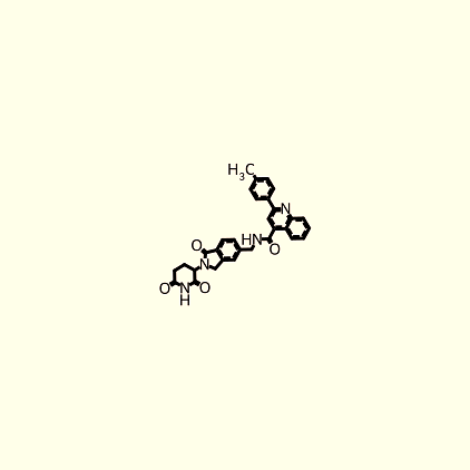 Cc1ccc(-c2cc(C(=O)NCc3ccc4c(c3)CN(C3CCC(=O)NC3=O)C4=O)c3ccccc3n2)cc1